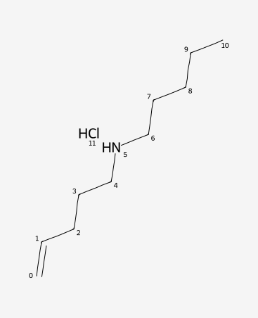 C=CCCCNCCCCC.Cl